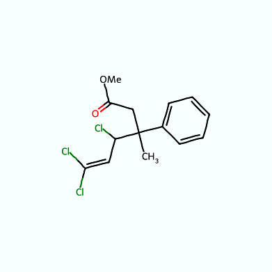 COC(=O)CC(C)(c1ccccc1)C(Cl)C=C(Cl)Cl